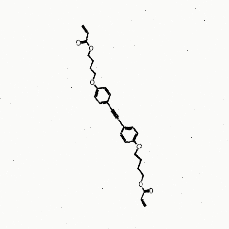 C=CC(=O)OCCCCOc1ccc(C#Cc2ccc(OCCCCOC(=O)C=C)cc2)cc1